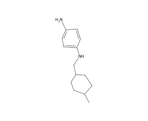 CC1CCC(CNc2ccc(N)cc2)CC1